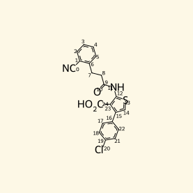 N#Cc1ccccc1CCC(=O)Nc1scc(-c2ccc(Cl)cc2)c1C(=O)O